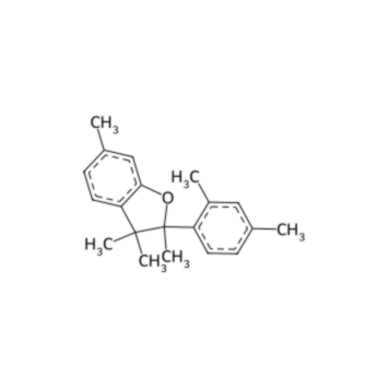 Cc1ccc(C2(C)Oc3cc(C)ccc3C2(C)C)c(C)c1